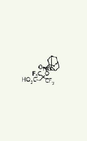 O=C(O)CC(OC(=O)C12CC3CC(C1)C(O)C(C3)C2)(C(F)(F)F)C(F)(F)F